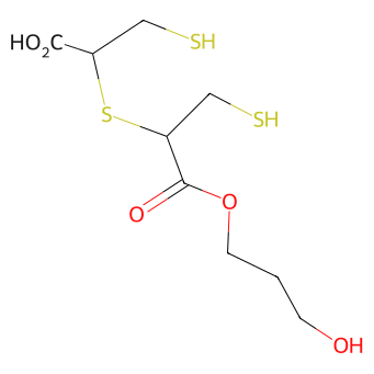 O=C(O)C(CS)SC(CS)C(=O)OCCCO